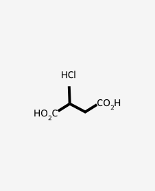 CC(CC(=O)O)C(=O)O.Cl